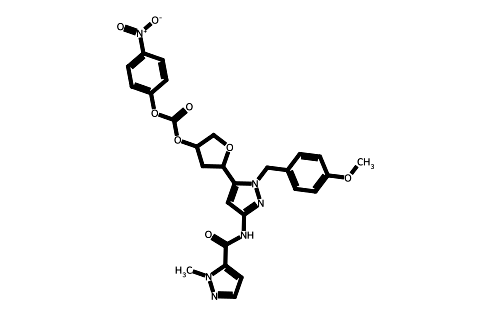 COc1ccc(Cn2nc(NC(=O)c3ccnn3C)cc2C2CC(OC(=O)Oc3ccc([N+](=O)[O-])cc3)CO2)cc1